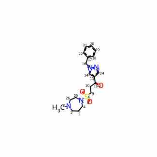 CN1CCCN(S(=O)(=O)CCC(=O)c2[c]n(Cc3ccccc3)nc2)CC1